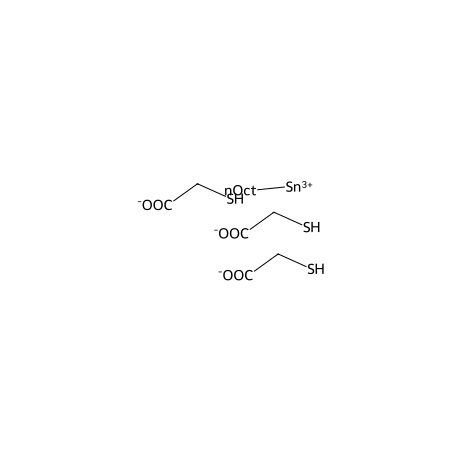 CCCCCCC[CH2][Sn+3].O=C([O-])CS.O=C([O-])CS.O=C([O-])CS